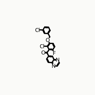 O=C(c1ccc2nccnc2c1)c1c(F)ccc(OCc2cccc(Cl)c2)c1Cl